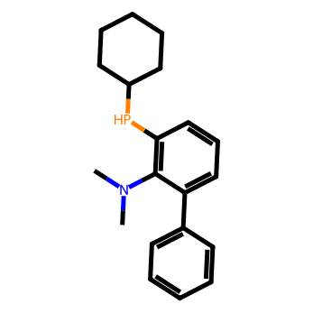 CN(C)c1c(PC2CCCCC2)cccc1-c1ccccc1